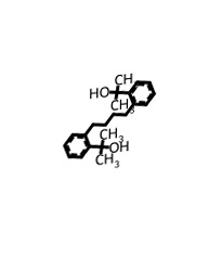 CC(C)(O)c1ccccc1CCCCc1ccccc1C(C)(C)O